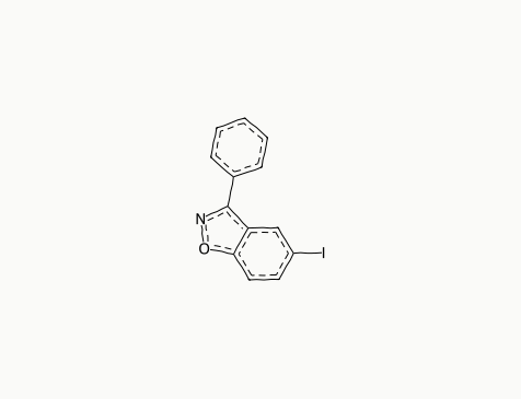 Ic1ccc2onc(-c3ccccc3)c2c1